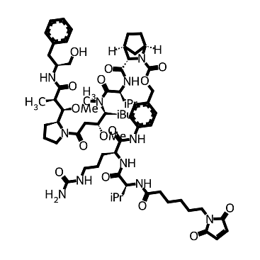 CC[C@H](C)[C@@H]([C@@H](CC(=O)N1CCC[C@H]1[C@H](OC)[C@@H](C)C(=O)N[C@H](CO)Cc1ccccc1)OC)N(C)C(=O)[C@@H](NC(=O)[C@@H]1[C@H]2CC[C@H](C2)N1C(=O)OCc1ccc(NC(=O)[C@H](CCCNC(N)=O)NC(=O)[C@@H](NC(=O)CCCCCN2C(=O)C=CC2=O)C(C)C)cc1)C(C)C